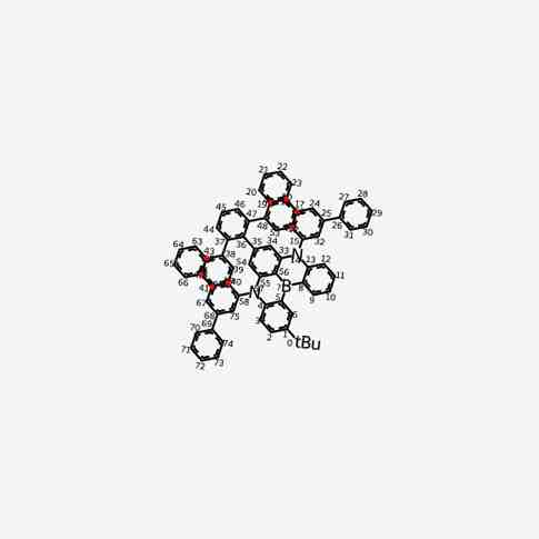 CC(C)(C)c1ccc2c(c1)B1c3ccccc3N(c3cc(-c4ccccc4)cc(-c4ccccc4)c3)c3cc(-c4c(-c5ccccc5)cccc4-c4ccccc4)cc(c31)N2c1cc(-c2ccccc2)cc(-c2ccccc2)c1